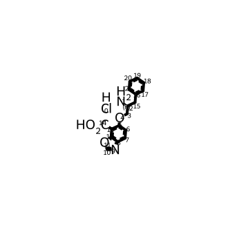 Cl.N[C@@H](COc1ccc2ncoc2c1C(=O)O)Cc1ccccc1